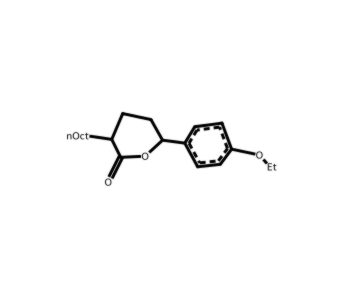 CCCCCCCCC1CCC(c2ccc(OCC)cc2)OC1=O